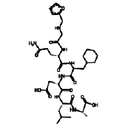 CC(C)C[C@H](NC(=O)[C@H](CC(=O)O)NC(=O)[C@H](CC1CCCCC1)NC(=O)[C@H](CCC(N)=O)NC(=O)CNCc1ccco1)C(=O)N[C@@H](C)C(=O)O